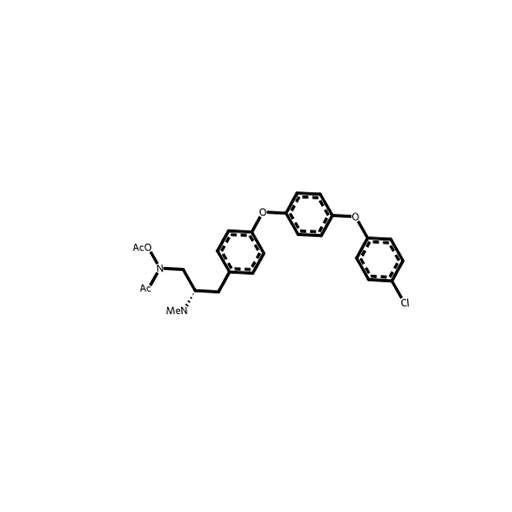 CN[C@@H](Cc1ccc(Oc2ccc(Oc3ccc(Cl)cc3)cc2)cc1)CN(OC(C)=O)C(C)=O